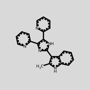 Cc1[nH]c2ccccc2c1-c1nc(-c2ccccn2)c(-c2ccccn2)[nH]1